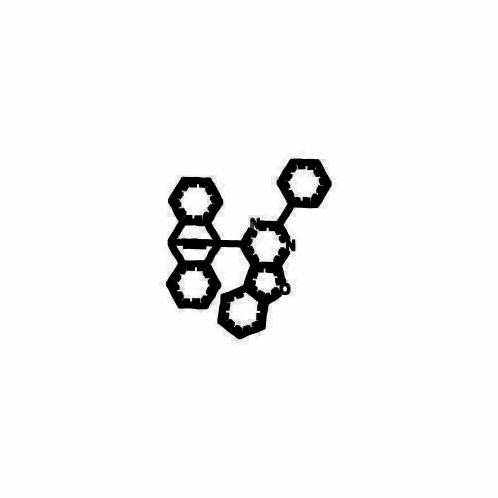 C1=CC2(c3nc(-c4ccccc4)nc4oc5ccccc5c34)c3ccccc3C1c1ccccc12